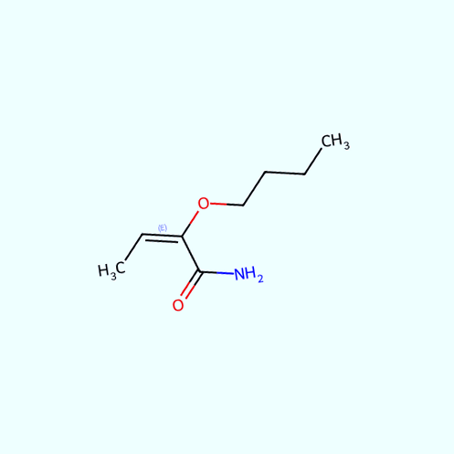 C/C=C(/OCCCC)C(N)=O